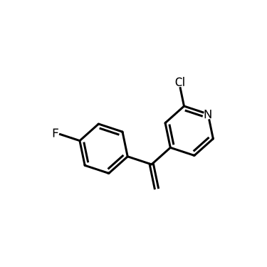 C=C(c1ccc(F)cc1)c1ccnc(Cl)c1